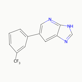 FC(F)(F)c1cccc(-c2cnc3[nH]cnc3c2)c1